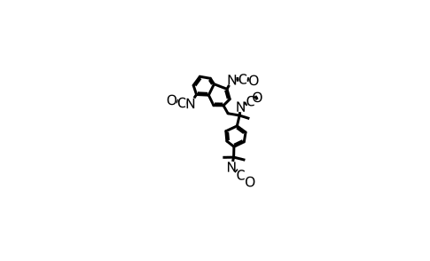 CC(C)(N=C=O)c1ccc(C(C)(Cc2cc(N=C=O)c3cccc(N=C=O)c3c2)N=C=O)cc1